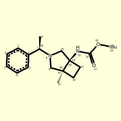 C[C@H](c1ccccc1)N1C[C@]2(C)CC[C@@]2(NC(=O)OC(C)(C)C)C1